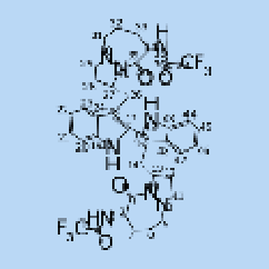 O=C1[C@@H](NC(=O)C(F)(F)F)CCCN2CC[C@@H](Cc3c(-c4[nH]c5ccccc5c4C[C@@H]4CCN5CCC[C@H](NC(=O)C(F)(F)F)C(=O)N45)[nH]c4ccccc34)N12